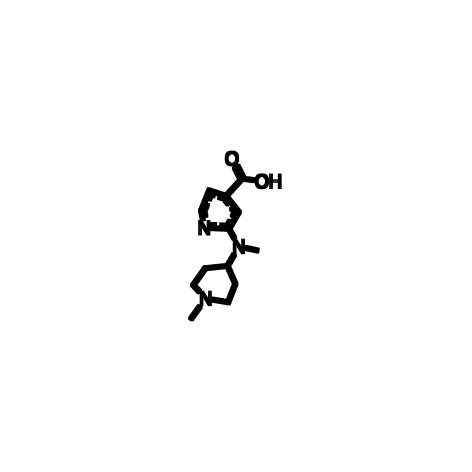 CN1CCC(N(C)c2cc(C(=O)O)ccn2)CC1